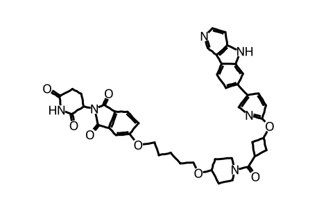 O=C1CCC(N2C(=O)c3ccc(OCCCCCOC4CCN(C(=O)C5CC(Oc6ccc(-c7ccc8c(c7)[nH]c7ccncc78)cn6)C5)CC4)cc3C2=O)C(=O)N1